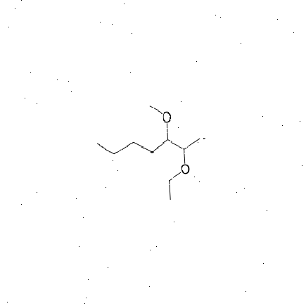 [CH2]C(OCC)C(CCCC)OC